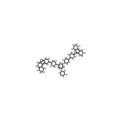 c1ccc(-c2nc(-c3ccc(-c4ccc(-n5c6ccccc6c6ccccc65)cc4)cc3)cc(-c3ccc(-c4ccc5oc6ccc7ccccc7c6c5c4)cc3)n2)cc1